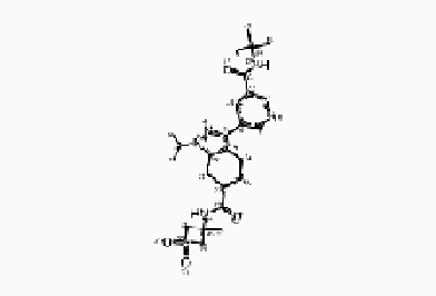 CC(C)n1nc(-c2cncc(C(=O)NC(C)(C)C)c2)c2c1CC(C(=O)NC1(C)CS(=O)(=O)C1)CC2